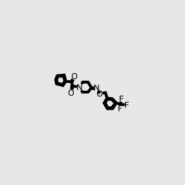 O=C(C(=O)N1CCC(=NOCc2cccc(C(F)(F)F)c2)CC1)c1ccccc1